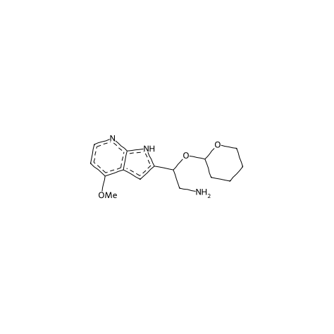 COc1ccnc2[nH]c(C(CN)OC3CCCCO3)cc12